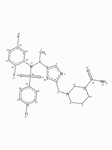 CC(c1cnc(CN2CCCC(C(N)=O)C2)s1)N(c1cc(F)ccc1F)S(=O)(=O)c1ccc(Cl)cc1